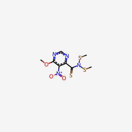 COc1ncnc(C(=S)N(SC)SC)c1[N+](=O)[O-]